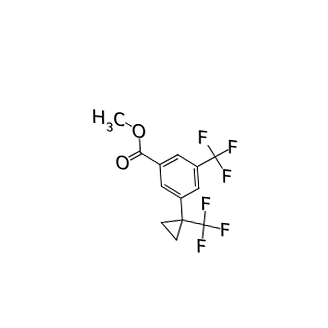 COC(=O)c1cc(C(F)(F)F)cc(C2(C(F)(F)F)CC2)c1